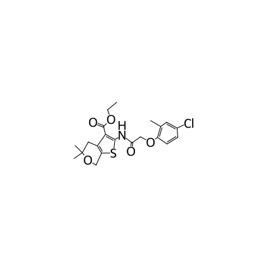 CCOC(=O)c1c(NC(=O)COc2ccc(Cl)cc2C)sc2c1CC(C)(C)OC2